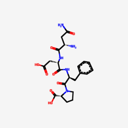 NC(=O)C[C@H](N)C(=O)N[C@@H](CC(=O)O)C(=O)N[C@@H](Cc1ccccc1)C(=O)N1CCC[C@@H]1C(=O)O